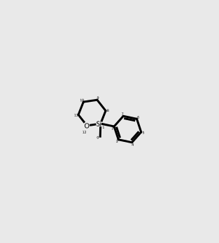 C[Si]1(c2ccccc2)CCCCO1